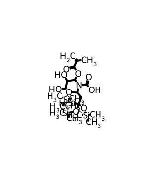 C=C(C)C(=O)OC(C(O)CO)N(C(=O)O)C(CC([SiH3])(O[Si](C)(C)C)O[Si](C)(C)C)O[Si](C)(C)C